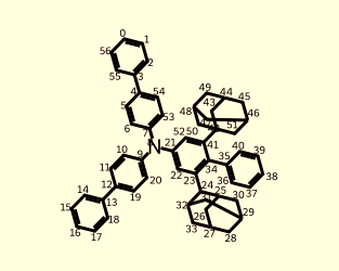 c1ccc(-c2ccc(N(c3ccc(-c4ccccc4)cc3)c3cc(C4C5CC6CC(C5)CC4C6)c(-c4ccccc4)c(C45CC6CC(CC(C6)C4)C5)c3)cc2)cc1